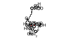 NC(=O)CC[C@H](NC(=O)[C@@H]1CC[C@@H]2CCN(C(=O)CCCCCC#Cc3cccc4c3CN(C3CCC(=O)NC3=O)C4=O)C[C@H](NC(=O)c3cc4cc(C(F)(F)P(=O)(O)O)ccc4s3)C(=O)N21)C(=O)NC(c1cccc(F)c1)c1cccc(F)c1